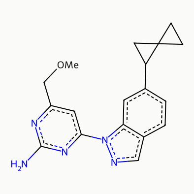 COCc1cc(-n2ncc3ccc(C4CC45CC5)cc32)nc(N)n1